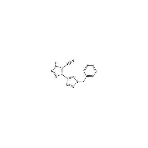 N#Cc1[nH]nnc1-c1cn(Cc2ccccc2)nn1